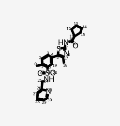 Cc1ccc(-c2sc(NC(=O)C3CCCC3)nc2C)cc1S(=O)(=O)NCc1ccccn1